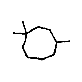 CC1CCCCC(C)(C)CC1